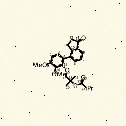 COc1ccc(-c2cccc3c2CCC3=O)c(OCC(C)(C)OC(=O)C(C)C)c1OC